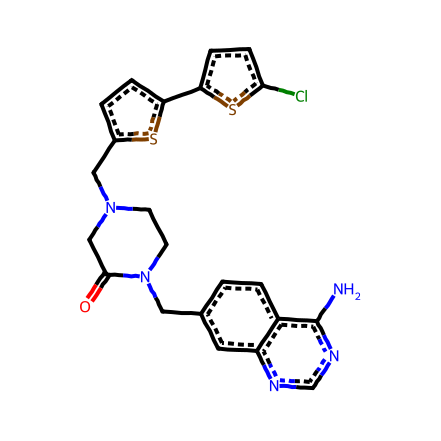 Nc1ncnc2cc(CN3CCN(Cc4ccc(-c5ccc(Cl)s5)s4)CC3=O)ccc12